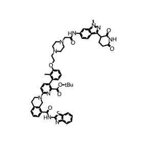 Cc1c(OCCN2CCN(CC(=O)Nc3ccc4c(C5CCC(=O)NC5=O)nn(C)c4c3)CC2)cccc1-c1ccc(N2CCc3cccc(C(=O)Nc4nc5ccccc5s4)c3C2)nc1C(=O)OC(C)(C)C